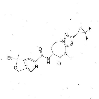 CC[C@@]1(C)OCc2cnc(C(=O)N[C@@H]3CCn4nc([C@H]5CC5(F)F)cc4N(C)C3=O)cc21